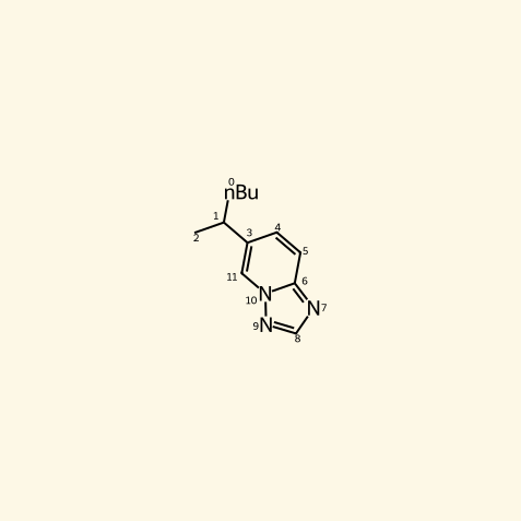 CCCCC(C)c1ccc2ncnn2c1